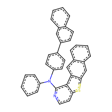 c1ccc(N(c2ccc(-c3ccc4ccccc4c3)cc2)c2nccc3sc4cc5ccccc5cc4c23)cc1